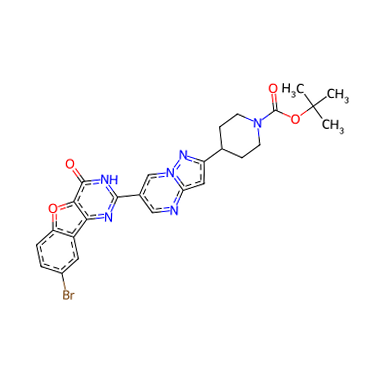 CC(C)(C)OC(=O)N1CCC(c2cc3ncc(-c4nc5c(oc6ccc(Br)cc65)c(=O)[nH]4)cn3n2)CC1